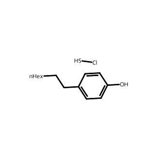 CCCCCCCCc1ccc(O)cc1.SCl